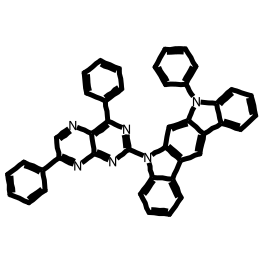 c1ccc(-c2cnc3c(-c4ccccc4)nc(-n4c5ccccc5c5cc6c7ccccc7n(-c7ccccc7)c6cc54)nc3n2)cc1